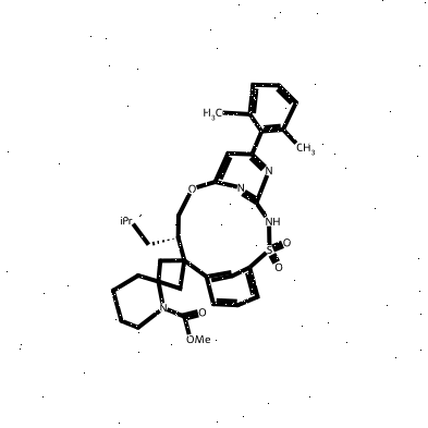 COC(=O)N1CCCCC12CC1(C2)c2cccc(c2)S(=O)(=O)Nc2nc(cc(-c3c(C)cccc3C)n2)OC[C@H]1CC(C)C